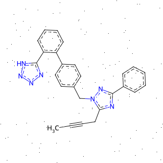 CC#CCc1nc(-c2ccccc2)nn1Cc1ccc(-c2ccccc2-c2nnn[nH]2)cc1